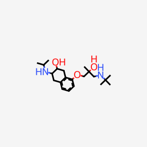 CC(C)NC1Cc2cccc(OCC(C)(O)CNC(C)(C)C)c2CC1O